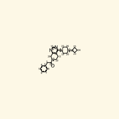 O=C(Cc1ccccc1)N1CCc2c(ncnc2N2CCN(C3CCC3)CC2)C1